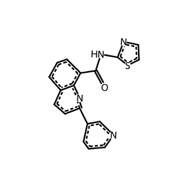 O=C(Nc1nccs1)c1cccc2ccc(-c3cccnc3)nc12